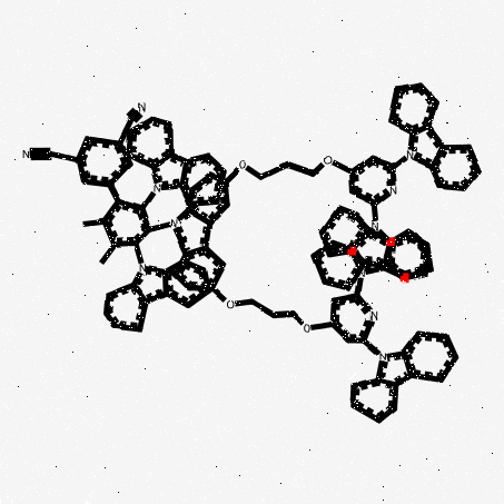 Cc1c(C)c(-n2c3ccccc3c3ccccc32)c(-n2c3ccc(OCCCOc4cc(-n5c6ccccc6c6ccccc65)nc(-n5c6ccccc6c6ccccc65)c4)cc3c3cc(OCCCOc4cc(-n5c6ccccc6c6ccccc65)nc(-n5c6ccccc6c6ccccc65)c4)ccc32)c(-n2c3ccccc3c3ccccc32)c1-c1cc(C#N)cc(C#N)c1